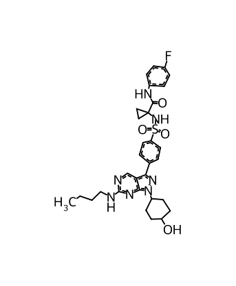 CCCCNc1ncc2c(-c3ccc(S(=O)(=O)NC4(C(=O)Nc5ccc(F)cc5)CC4)cc3)nn(C3CCC(O)CC3)c2n1